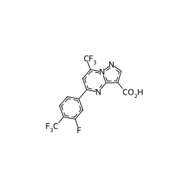 O=C(O)c1cnn2c(C(F)(F)F)cc(-c3ccc(C(F)(F)F)c(F)c3)nc12